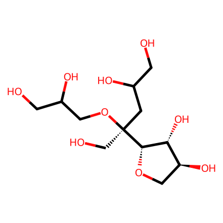 OCC(O)CO[C@@](CO)(CC(O)CO)[C@H]1OC[C@H](O)[C@H]1O